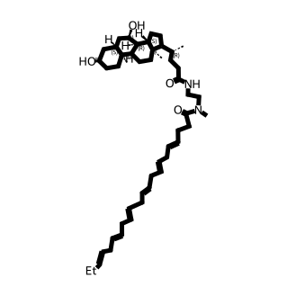 CCC=CCC=CCC=CCC=CCC=CCC=CCCC(=O)N(C)CCNC(=O)CC[C@@H](C)C1CC[C@H]2[C@@H]3[C@H](O)C[C@@H]4C[C@H](O)CC[C@]4(C)[C@H]3CC[C@]12C